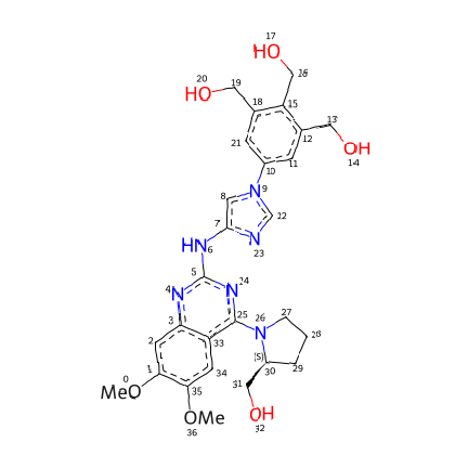 COc1cc2nc(Nc3cn(-c4cc(CO)c(CO)c(CO)c4)cn3)nc(N3CCC[C@H]3CO)c2cc1OC